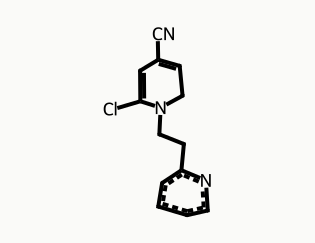 N#CC1=CCN(CCc2ccccn2)C(Cl)=C1